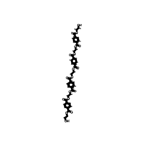 O=C(OCCO)c1ccc(C(=O)OCCOC(=O)c2ccc(C(=O)OCCOC(=O)c3ccc(C(=O)OCCOC(=O)c4ccc(C(=O)OCCO)cc4)cc3)cc2)cc1